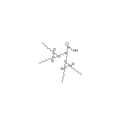 CCCCCCCC(=O)OCC(COC(=O)CCCCCCC)OCCCN(CCCOC(COC(=O)CCCCCCC)COC(=O)CCCCCCC)CCN(CCO)C1CCC1